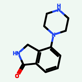 O=C1NCc2c1cccc2N1CCNCC1